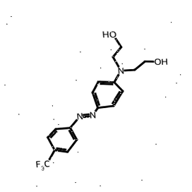 OCCN(CCO)c1ccc(N=Nc2ccc(C(F)(F)F)cc2)cc1